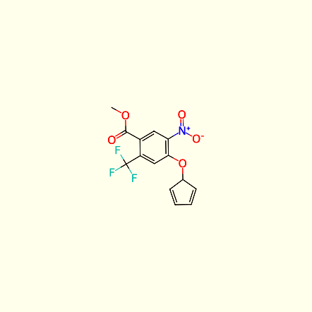 COC(=O)c1cc([N+](=O)[O-])c(OC2C=CC=C2)cc1C(F)(F)F